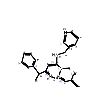 C=C(Br)/C=N\N(C)/C(=C\C(=N/C)C(C)c1ccccc1)NCc1cccnc1